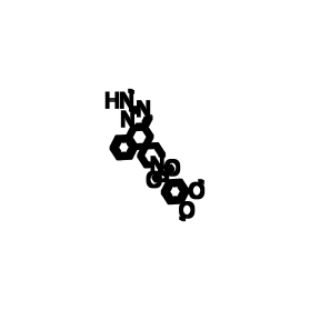 CNc1ncc2c(n1)-c1ccccc1C1(CCN(S(=O)(=O)c3ccc(OC)c(OC)c3)CC1)C2